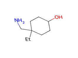 CCC1(CN)CCC(O)CC1